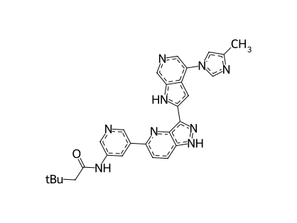 Cc1cn(-c2cncc3[nH]c(-c4n[nH]c5ccc(-c6cncc(NC(=O)CC(C)(C)C)c6)nc45)cc23)cn1